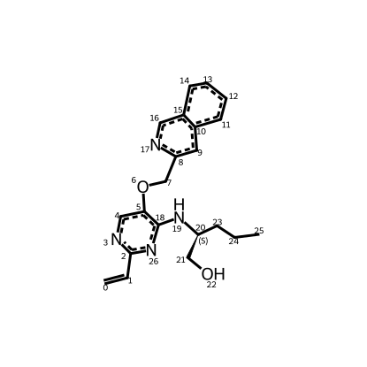 C=Cc1ncc(OCc2cc3ccccc3cn2)c(N[C@H](CO)CCC)n1